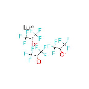 [Lu+3].[O-]C(C(F)(F)F)C(F)(F)F.[O-]C(C(F)(F)F)C(F)(F)F.[O-]C(C(F)(F)F)C(F)(F)F